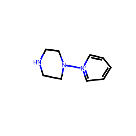 c1cc[n+](N2CCNCC2)cc1